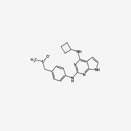 C[S+]([O-])Cc1ccc(Nc2nc(NC3CCC3)c3cc[nH]c3n2)cc1